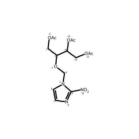 CC(=O)OCC(OCn1ccnc1[N+](=O)[O-])C(COC(C)=O)OC(C)=O